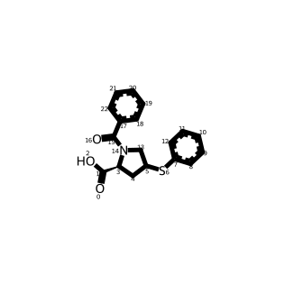 O=C(O)[C@@H]1CC(Sc2ccccc2)CN1C(=O)c1ccccc1